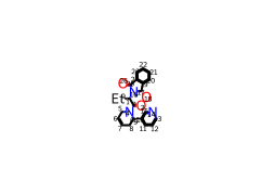 CCC(C(=O)N1CC=CC[C@@H]1c1cccnc1)N1C(=O)c2ccccc2C1=O